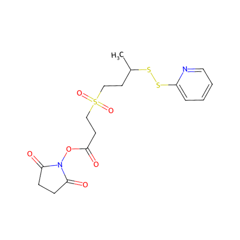 CC(CCS(=O)(=O)CCC(=O)ON1C(=O)CCC1=O)SSc1ccccn1